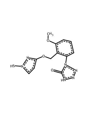 COc1cccc(-n2nn[nH]c2=O)c1COc1ccn(S)n1